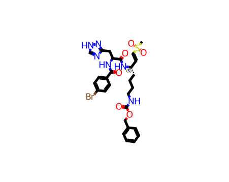 CS(=O)(=O)C=C[C@H](CCCCNC(=O)OCc1ccccc1)NC(=O)C(Cc1nc[nH]n1)NC(=O)c1ccc(Br)cc1